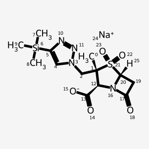 C[C@]1(Cn2cc([Si](C)(C)C)nn2)[C@H](C(=O)[O-])N2C(=O)C[C@H]2S1(=O)=O.[Na+]